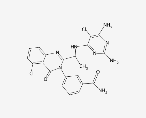 CC(Nc1nc(N)nc(N)c1Cl)c1nc2cccc(Cl)c2c(=O)n1-c1cccc(C(N)=O)c1